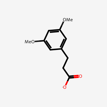 COc1cc(CCC([O])=O)cc(OC)c1